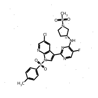 Cc1ccc(S(=O)(=O)n2cc(-c3ncc(F)c(N[C@H]4CCN(S(C)(=O)=O)C4)n3)c3cc(Cl)cnc32)cc1